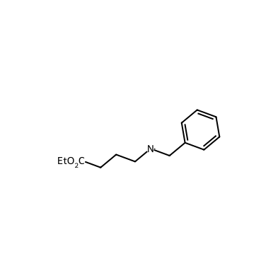 CCOC(=O)CCC[N]Cc1ccccc1